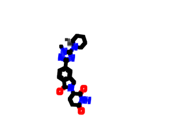 C[C@@H]1CCCCN1c1nc(-c2ccc3c(c2)CN(C2CCC(=O)NC2=O)C3=O)nn1C